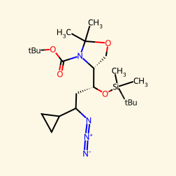 CC(C)(C)OC(=O)N1[C@@H]([C@@H](CC(N=[N+]=[N-])C2CC2)O[Si](C)(C)C(C)(C)C)COC1(C)C